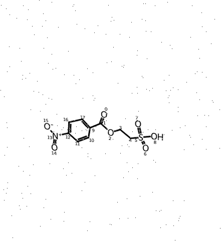 O=C(OCCS(=O)(=O)O)c1ccc([N+](=O)[O-])cc1